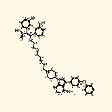 Nc1ncnc2c1c(-c1ccc(Oc3ccccc3)cc1)nn2C1CCN(CCOCCOCCN/C(=C2\C(=O)Nc3ccc(Br)cc32)c2cccc(O)c2)CC1